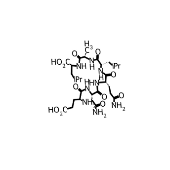 CC(C)C[C@H](NC(=O)[C@H](C)NC(=O)[C@H](CC(C)C)NC(=O)[C@H](CCC(N)=O)NC(=O)[C@H](CC(N)=O)NC(=O)[C@@H](N)CCC(=O)O)C(=O)O